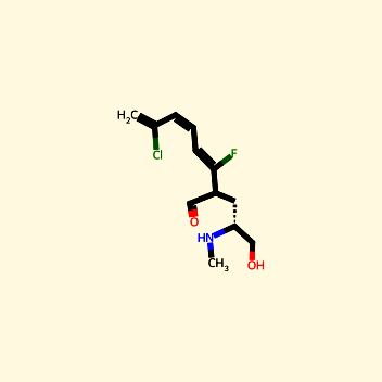 C=C(Cl)/C=C\C=C(/F)C(C=O)C[C@H](CO)NC